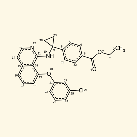 CCOC(=O)c1ccc(C2(Nc3nccc4cccc(Oc5cccc(Cl)c5)c34)CC2)cc1